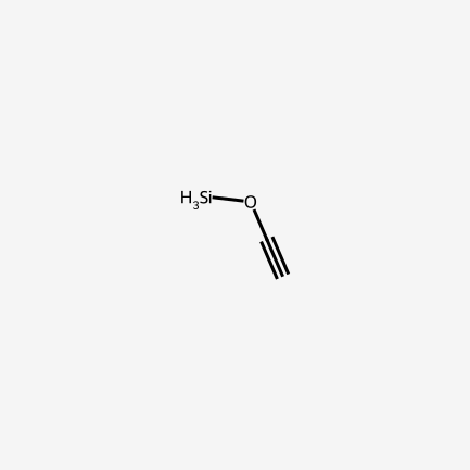 C#CO[SiH3]